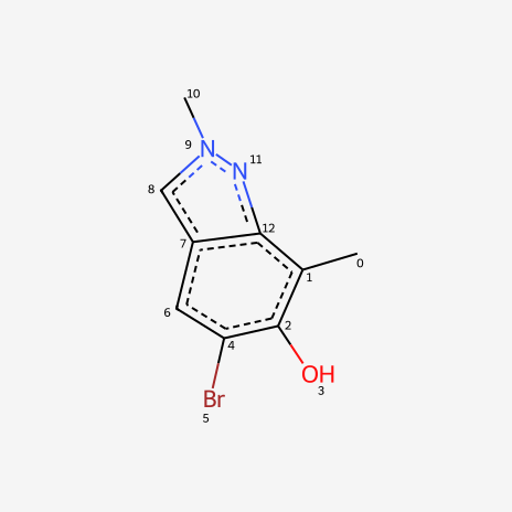 Cc1c(O)c(Br)cc2cn(C)nc12